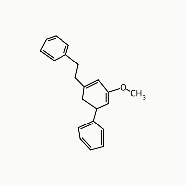 COC1=CC(c2ccccc2)CC(CCc2ccccc2)=C1